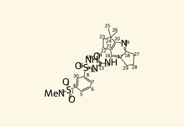 CNS(=O)(=O)c1cccc(S(N)(=O)=NC(=O)Nc2c3c(nc4c2CCC4(C)C)CCC3)c1